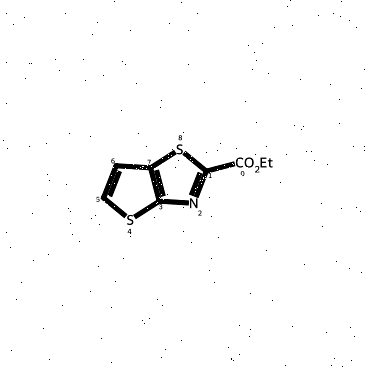 CCOC(=O)c1nc2sccc2s1